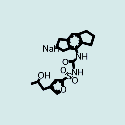 CC(O)Cc1coc(S(=O)(=O)NC(=O)Nc2c3c(cc4c2CCC4)CCC3)c1.[NaH]